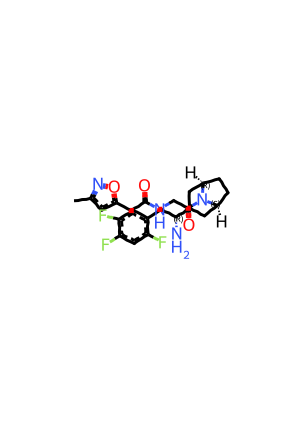 Cc1cc(CC(=O)NCC(=O)N2[C@@H]3CC[C@H]2CC([C@H](N)Cc2cc(F)c(F)cc2F)C3)on1